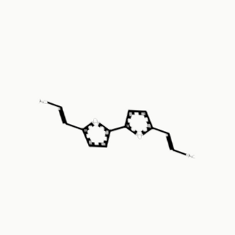 CC(=O)C=Cc1ccc(-c2ccc(C=CC(C)=O)o2)o1